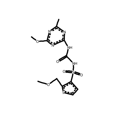 COCc1sccc1S(=O)(=O)NC(=O)Nc1nc(C)nc(OC)n1